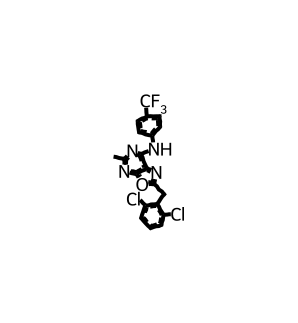 Cc1nc(Nc2ccc(C(F)(F)F)cc2)c2nc(Cc3c(Cl)cccc3Cl)oc2n1